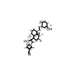 C[C@H]1[C@H]2[C@H](CC[C@@H]3C[C@](C)(O)CC[C@@H]3C)CCC[C@]2(C)C([C@](C)(O)Cn2cc(C#N)cn2)C[C@@H]1C